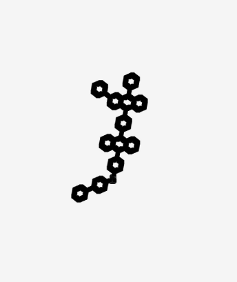 c1ccc(-c2ccc(Sc3ccc(-c4c5ccccc5c(-c5ccc(-c6c7ccccc7c(-c7ccccc7)c7cc(-c8ccccc8)ccc67)cc5)c5ccccc45)cc3)cc2)cc1